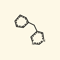 c1ccc(Cc2cncnc2)cc1